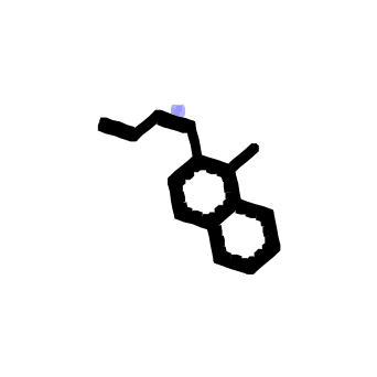 C=C/C=C\c1ccc2ccccc2c1C